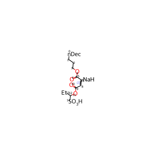 CCCCCCCCCCCCCOC(=O)/C=C\C(=O)OC(CC)S(=O)(=O)O.[NaH]